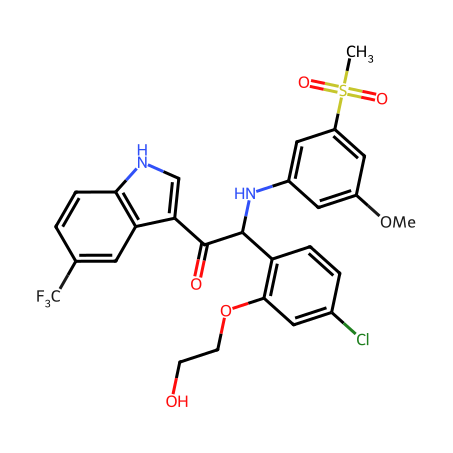 COc1cc(NC(C(=O)c2c[nH]c3ccc(C(F)(F)F)cc23)c2ccc(Cl)cc2OCCO)cc(S(C)(=O)=O)c1